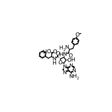 COc1ccc(C[C@H](N)C(=O)N[C@H]2[C@@H](O)[C@H](n3cnc4c(N)ncnc43)O[C@@H]2C(=O)NC(Cc2ccccc2)C(=O)O)cc1